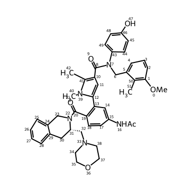 COc1cccc(CN(C(=O)c2cc(-c3cc(NC(C)=O)ccc3C(=O)N3Cc4ccccc4C[C@H]3CN3CCOCC3)n(C)c2C)c2ccc(O)cc2)c1C